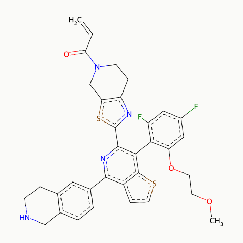 C=CC(=O)N1CCc2nc(-c3nc(-c4ccc5c(c4)CCNC5)c4ccsc4c3-c3c(F)cc(F)cc3OCCOC)sc2C1